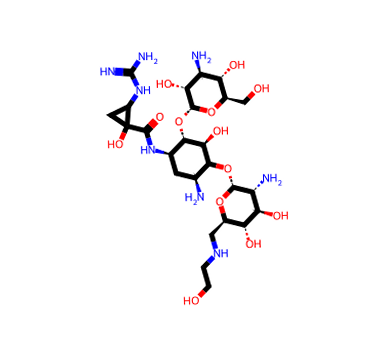 N=C(N)NC1CC1(O)C(=O)N[C@@H]1C[C@H](N)C(O[C@H]2O[C@H](CNCCO)[C@@H](O)[C@H](O)[C@H]2N)[C@H](O)[C@H]1O[C@H]1O[C@H](CO)[C@@H](O)[C@H](N)[C@H]1O